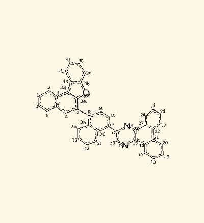 c1ccc2c(c1)cc(-c1ccc(-c3cnc4c5ccccc5c5ccccc5c4n3)c3ccccc13)c1oc3ccccc3c12